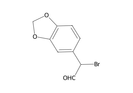 O=CC(Br)c1ccc2c(c1)OCO2